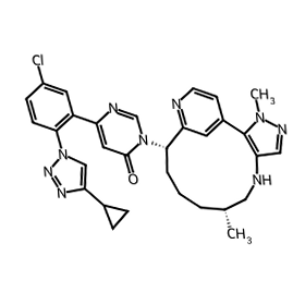 C[C@@H]1CCC[C@H](n2cnc(-c3cc(Cl)ccc3-n3cc(C4CC4)nn3)cc2=O)c2cc(ccn2)-c2c(cnn2C)NC1